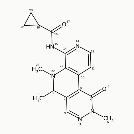 CC1c2cnn(C)c(=O)c2-c2ccnc(NC(=O)C3CC3)c2N1C